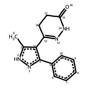 Cc1[nH]nc(-c2ccccc2)c1C1=NNC(=O)CC1